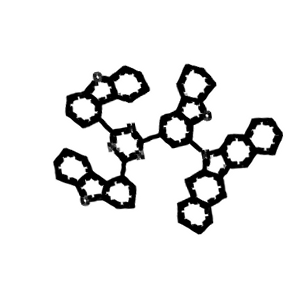 c1ccc2cc3c(cc2c1)c1cc2ccccc2cc1n3-c1cc(-c2nc(-c3cccc4oc5ccccc5c34)nc(-c3cccc4oc5ccccc5c34)n2)cc2c1oc1ccccc12